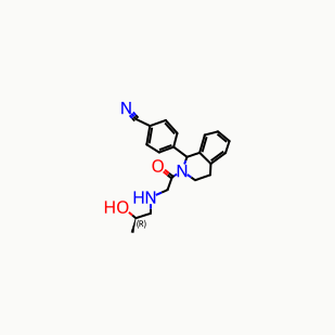 C[C@@H](O)CNCC(=O)N1CCc2ccccc2C1c1ccc(C#N)cc1